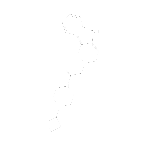 O=C(CN1CC=C2NN3C=CC=CC3=C2C1)N1CCN(C2CCC2)CC1